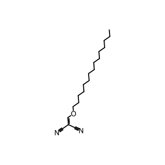 CCCCCCCCCCCCCCCOC=C(C#N)C#N